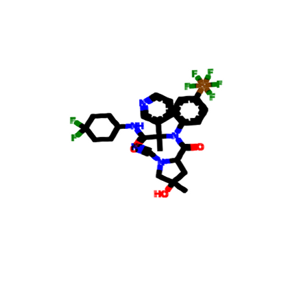 CC1(O)CC(C(=O)N(c2ccc(S(F)(F)(F)(F)F)cc2)C(C)(C(=O)NC2CCC(F)(F)CC2)c2cccnc2)N(C#N)C1